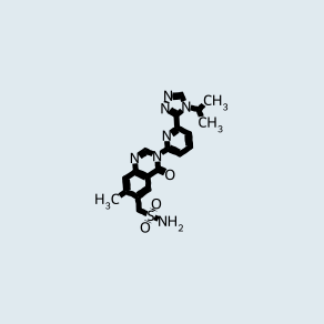 Cc1cc2ncn(-c3cccc(-c4nncn4C(C)C)n3)c(=O)c2cc1CS(N)(=O)=O